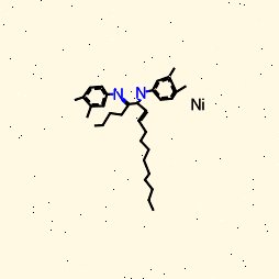 CCCCCCCCC/C=C/C(=N\c1ccc(C)c(C)c1)C(/CCCC)=N/c1ccc(C)c(C)c1.[Ni]